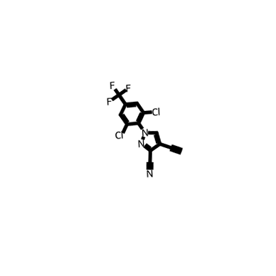 C#Cc1cn(-c2c(Cl)cc(C(F)(F)F)cc2Cl)nc1C#N